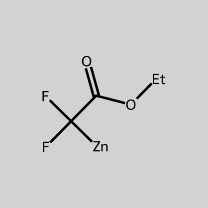 CCOC(=O)[C](F)(F)[Zn]